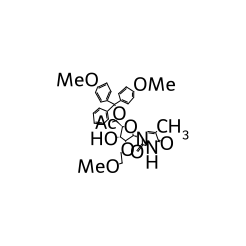 COCCO[C@@H]1[C@H](O)[C@@H](C(OC(c2ccccc2)(c2ccc(OC)cc2)c2ccc(OC)cc2)C(C)=O)O[C@H]1n1cc(C)c(=O)[nH]c1=O